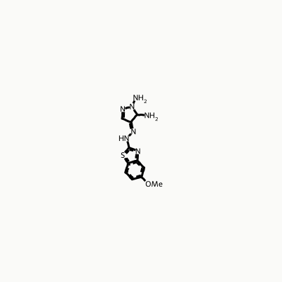 COc1ccc2sc(NN=C3C=NN(N)C3N)nc2c1